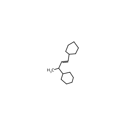 CC(C=CC1CCCCC1)C1CCCCC1